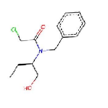 CC[C@H](CO)N(Cc1ccccc1)C(=O)CCl